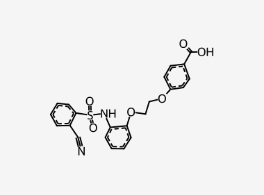 N#Cc1ccccc1S(=O)(=O)Nc1ccccc1OCCOc1ccc(C(=O)O)cc1